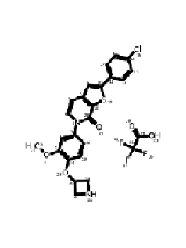 COc1cc(-n2ccc3cc(-c4ccc(Cl)cc4)sc3c2=O)ccc1OC1CNC1.O=C(O)C(F)(F)F